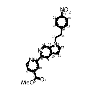 COC(=O)c1ccnc(-c2cc3ccn(CCc4ccc([N+](=O)[O-])cc4)c3cn2)c1